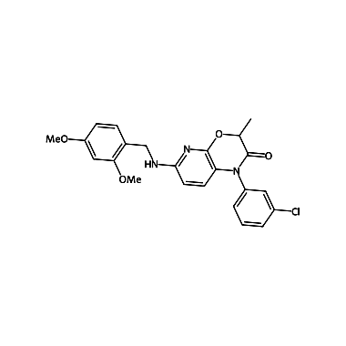 COc1ccc(CNc2ccc3c(n2)OC(C)C(=O)N3c2cccc(Cl)c2)c(OC)c1